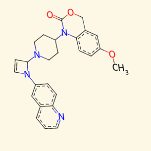 COc1ccc2c(c1)COC(=O)N2C1CCN(C2C=CN2c2ccc3ncccc3c2)CC1